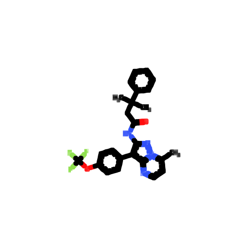 Cc1ccnc2c(-c3ccc(OC(F)(F)F)cc3)c(NC(=O)CC(C)(C)c3ccccc3)nn12